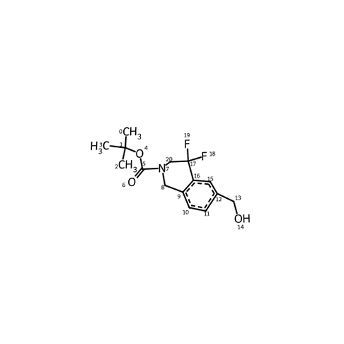 CC(C)(C)OC(=O)N1Cc2ccc(CO)cc2C(F)(F)C1